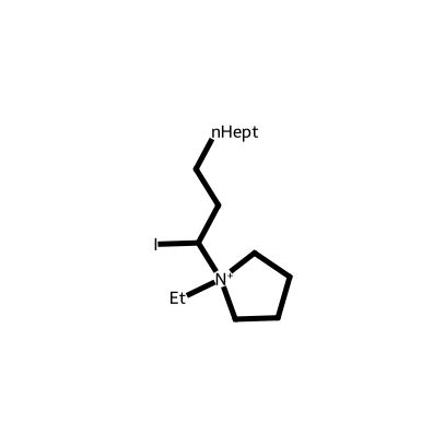 CCCCCCCCCC(I)[N+]1(CC)CCCC1